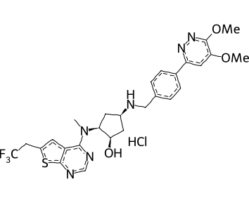 COc1cc(-c2ccc(CN[C@H]3C[C@@H](O)[C@@H](N(C)c4ncnc5sc(CC(F)(F)F)cc45)C3)cc2)nnc1OC.Cl